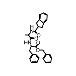 CC(NC(=O)C1Cc2ccccc2C1)C(=O)NC(Cc1ccccc1)C(=O)OCc1ccccc1